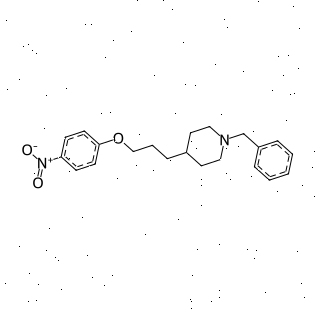 O=[N+]([O-])c1ccc(OCCCC2CCN(Cc3ccccc3)CC2)cc1